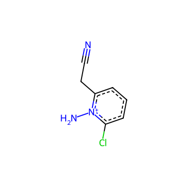 N#CCc1cccc(Cl)[n+]1N